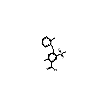 Cc1ccccc1Oc1cc(C)c(C(=O)O)cc1S(C)(=O)=O